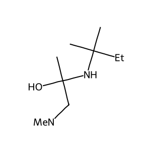 CCC(C)(C)NC(C)(O)CNC